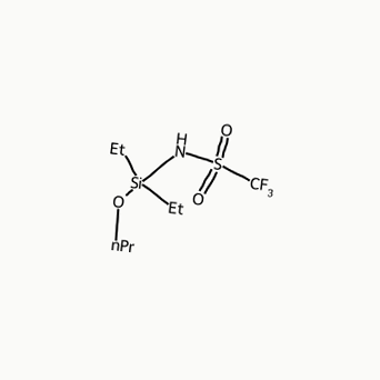 CCCO[Si](CC)(CC)NS(=O)(=O)C(F)(F)F